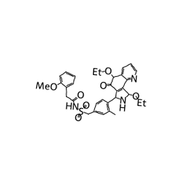 CCOC1NC(c2ccc(CS(=O)(=O)NC(=O)Cc3ccccc3OC)cc2C)C2=C1c1ncccc1C(OCC)C2=O